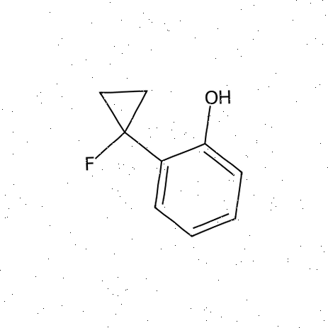 Oc1ccccc1C1(F)CC1